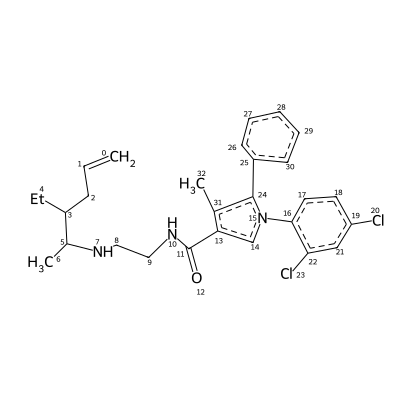 C=CCC(CC)C(C)NCCNC(=O)c1cn(-c2ccc(Cl)cc2Cl)c(-c2ccccc2)c1C